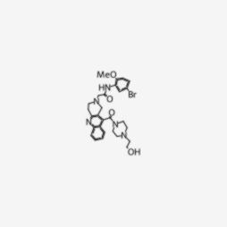 COc1ccc(Br)cc1NC(=O)CN1CCc2nc3ccccc3c(C(=O)N3CCN(CCO)CC3)c2C1